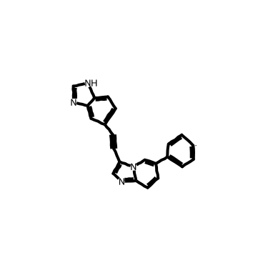 C(#Cc1cnc2ccc(-c3cc[c]cc3)cn12)c1ccc2[nH]cnc2c1